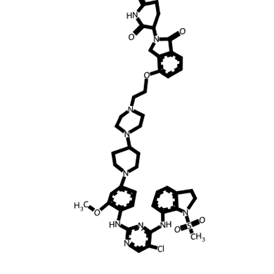 COc1cc(N2CCC(N3CCN(CCOc4cccc5c4CN(C4CCC(=O)NC4=O)C5=O)CC3)CC2)ccc1Nc1ncc(Cl)c(Nc2cccc3c2N(S(C)(=O)=O)CC3)n1